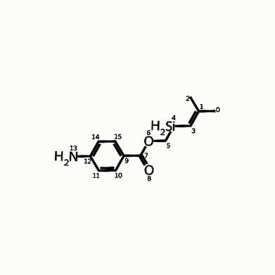 CC(C)=C[SiH2]COC(=O)c1ccc(N)cc1